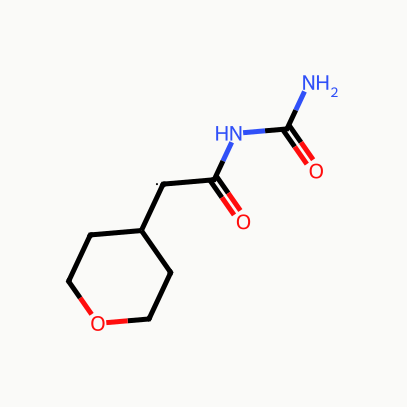 NC(=O)NC(=O)[CH]C1CCOCC1